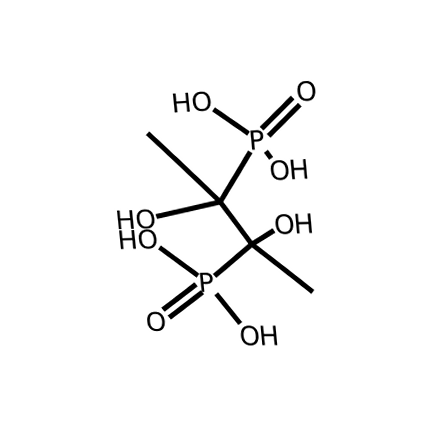 CC(O)(C(C)(O)P(=O)(O)O)P(=O)(O)O